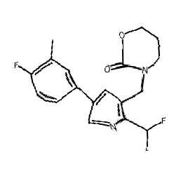 Cc1cc(-c2cnc(C(F)F)c(CN3CCCOC3=O)c2)ccc1F